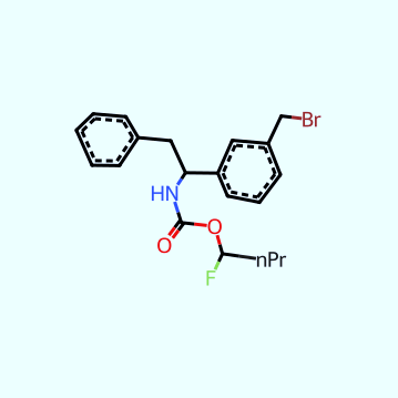 CCCC(F)OC(=O)NC(Cc1ccccc1)c1cccc(CBr)c1